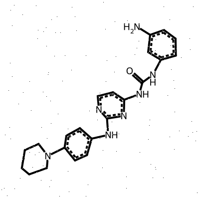 Nc1cccc(NC(=O)Nc2ccnc(Nc3ccc(N4CCCCC4)cc3)n2)c1